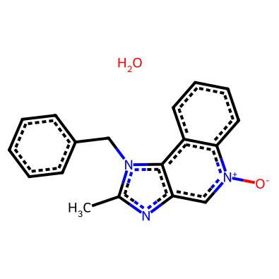 Cc1nc2c[n+]([O-])c3ccccc3c2n1Cc1ccccc1.O